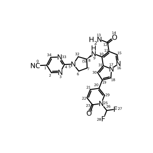 N#Cc1cnc(N2CC[C@H](Nc3c(C(N)=O)cnn4cc(-c5ccc(=O)n(C(F)F)c5)cc34)C2)nc1